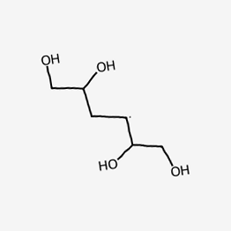 OCC(O)[CH]CC(O)CO